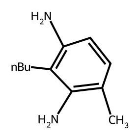 CCCCc1c(N)ccc(C)c1N